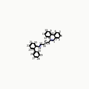 C(=C\c1ccccc1-c1ccccc1)/CSC/C=C/c1ccccc1-c1ccccc1